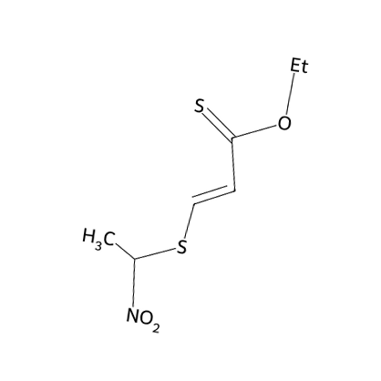 CCOC(=S)C=CSC(C)[N+](=O)[O-]